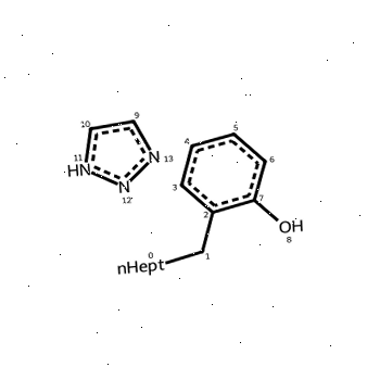 CCCCCCCCc1ccccc1O.c1c[nH]nn1